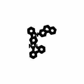 c1ccc2c(c1)ccc1cc(-n3c4ccccc4c4cc5nc6c7ccccc7c7ccccc7n6c5cc43)ccc12